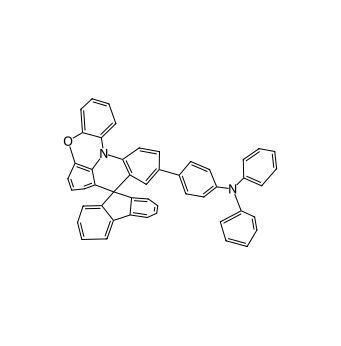 c1ccc(N(c2ccccc2)c2ccc(-c3ccc4c(c3)C3(c5ccccc5-c5ccccc53)c3cccc5c3N4c3ccccc3O5)cc2)cc1